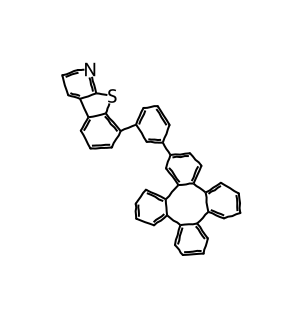 c1cc(-c2ccc3c(c2)-c2ccccc2-c2ccccc2-c2ccccc2-3)cc(-c2cccc3c2sc2ncccc23)c1